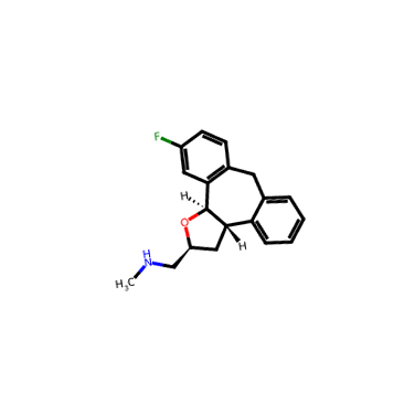 CNC[C@@H]1C[C@H]2c3ccccc3Cc3ccc(F)cc3[C@@H]2O1